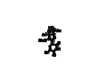 CO[C@H]1[C@H](n2cc(Br)c(=O)[nH]c2=O)O[C@H](C(O)C(C)=O)[C@]1(O)C(C)=O